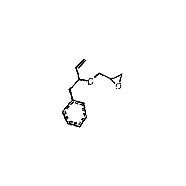 C=CC(Cc1ccccc1)OCC1CO1